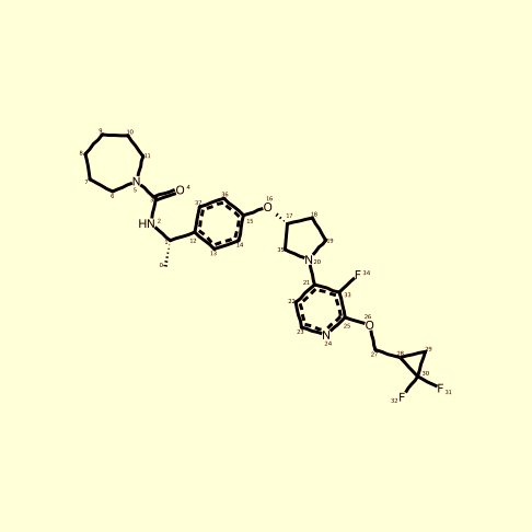 C[C@H](NC(=O)N1CCCCCC1)c1ccc(O[C@@H]2CCN(c3ccnc(OCC4CC4(F)F)c3F)C2)cc1